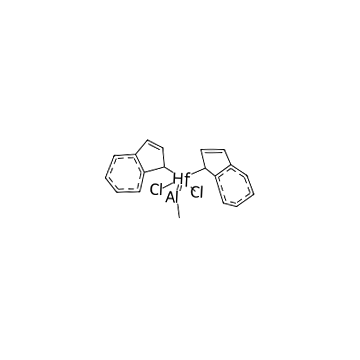 [CH3][Al]=[Hf]([Cl])([Cl])([CH]1C=Cc2ccccc21)[CH]1C=Cc2ccccc21